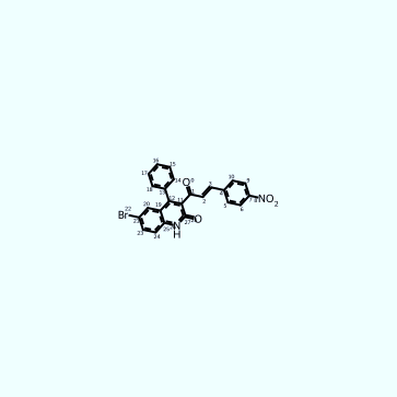 O=C(/C=C/c1ccc([N+](=O)[O-])cc1)c1c(-c2ccccc2)c2cc(Br)ccc2[nH]c1=O